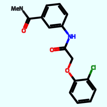 CNC(=O)c1cccc(NC(=O)COc2ccccc2Cl)c1